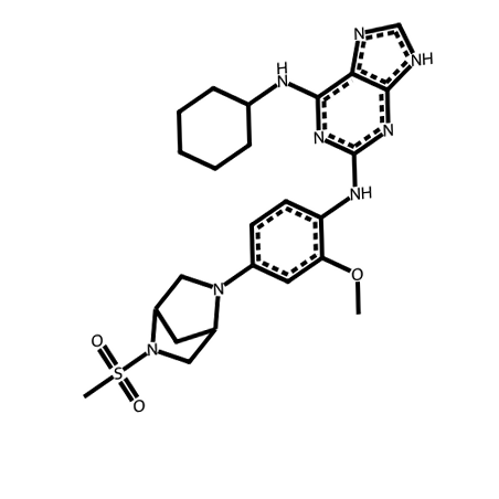 COc1cc(N2CC3CC2CN3S(C)(=O)=O)ccc1Nc1nc(NC2CCCCC2)c2nc[nH]c2n1